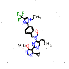 C/C=C\c1cnc(-c2c(OC)ncnc2C2CC2)nc1N(C=O)Cc1ccc(-c2nc(C(F)(F)F)cn2CC)cc1